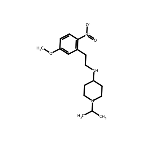 COc1ccc([N+](=O)[O-])c(CCNC2CCN(C(C)C)CC2)c1